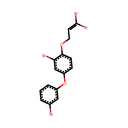 BrC(Br)=CCOc1ccc(Oc2cccc(Br)c2)cc1Br